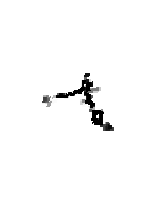 CCCCc1ccc(OCC(O)CC[N+]2([O-])CNCC2CCCCCCC(=O)O)cc1